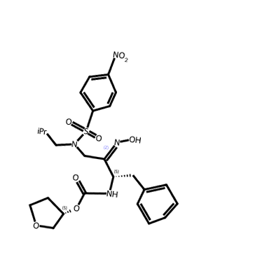 CC(C)CN(C/C(=N/O)[C@H](Cc1ccccc1)NC(=O)O[C@H]1CCOC1)S(=O)(=O)c1ccc([N+](=O)[O-])cc1